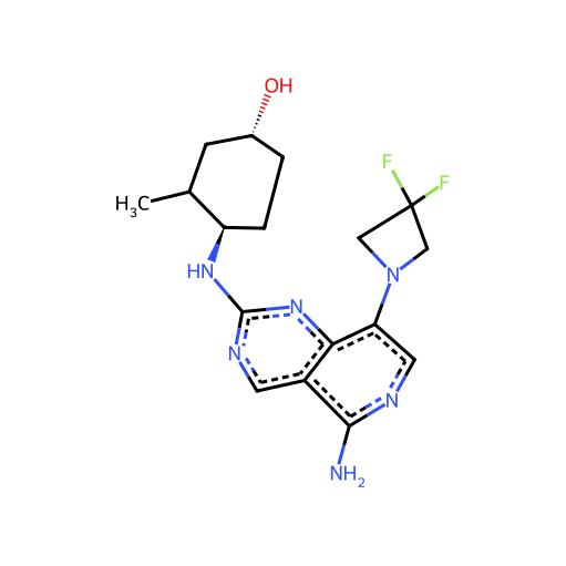 CC1C[C@H](O)CC[C@H]1Nc1ncc2c(N)ncc(N3CC(F)(F)C3)c2n1